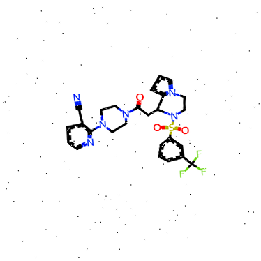 N#Cc1cccnc1N1CCN(C(=O)CC2c3cccn3CCN2S(=O)(=O)c2cccc(C(F)(F)F)c2)CC1